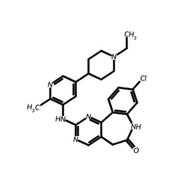 CCN1CCC(c2cnc(C)c(Nc3ncc4c(n3)-c3ccc(Cl)cc3NC(=O)C4)c2)CC1